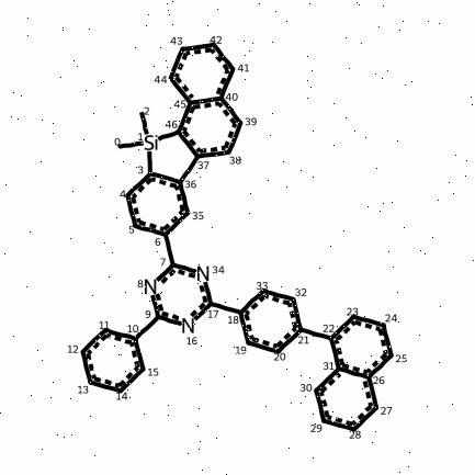 C[Si]1(C)c2ccc(-c3nc(-c4ccccc4)nc(-c4ccc(-c5cccc6ccccc56)cc4)n3)cc2-c2ccc3ccccc3c21